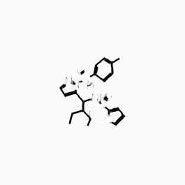 CCC(CC)C(NS(=O)(=O)c1cccs1)c1ccnn1S(=O)(=O)c1ccc(C)cc1